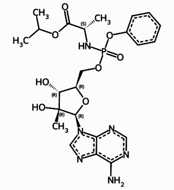 CC(C)OC(=O)[C@H](C)NP(=O)(OC[C@H]1O[C@@H](n2cnc3c(N)ncnc32)[C@](C)(O)[C@@H]1O)Oc1ccccc1